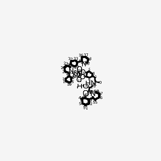 CC(Cc1ccc2c(c1)OC(C(=O)Oc1ccccc1-c1ccccn1)(C(=O)Oc1ccccc1-c1ccccn1)O2)NCC(O)COc1ccccc1-c1ccccn1